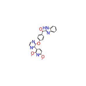 COc1ccc(-c2nccnc2Oc2ccc(C(=O)c3nc4ccccc4[nH]3)cc2)c(OC)n1